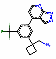 NCC1(c2cc(-c3ccnc4[nH]ncc34)cc(C(F)(F)F)c2)CCC1